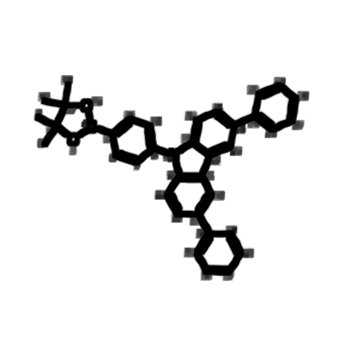 CC1(C)OB(c2ccc(-n3c4ccc(-c5ccccc5)cc4c4cc(-c5ccccc5)ccc43)cc2)OC1(C)C